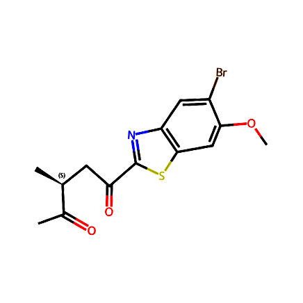 COc1cc2sc(C(=O)C[C@H](C)C(C)=O)nc2cc1Br